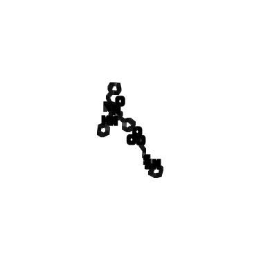 O=C(OCCCSSc1ccccn1)Oc1ccc(-c2cn3c(=O)c(Cc4ccccc4)nc-3c(Cc3ccccc3)[nH]2)cc1